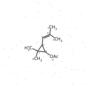 CC(=O)OC1C(C=C(C)C)C1(C)C